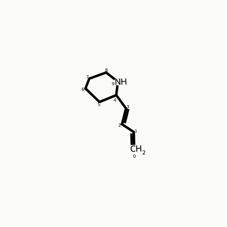 C=CC=CC1CCCCN1